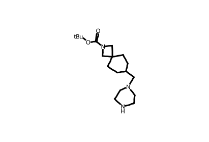 CC(C)(C)OC(=O)N1CC2(CCC(CN3CCNCC3)CC2)C1